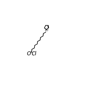 O=C(Cl)CCCCCCCCCC[C@H]1C=CCC1